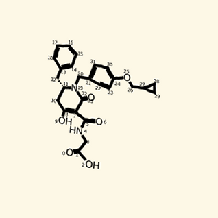 O=C(O)CNC(=O)C1=C(O)C[C@H](Cc2ccccc2)N(Cc2ccc(OCC3CC3)cc2)C1=O